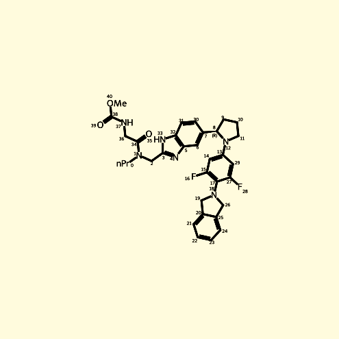 CCCN(Cc1nc2cc([C@H]3CCCN3c3cc(F)c(N4Cc5ccccc5C4)c(F)c3)ccc2[nH]1)C(=O)CNC(=O)OC